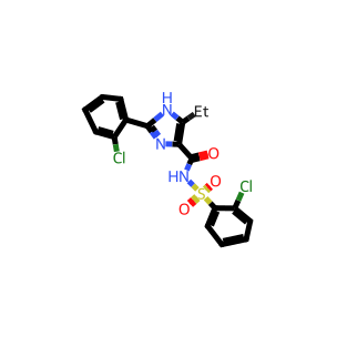 CCc1[nH]c(-c2ccccc2Cl)nc1C(=O)NS(=O)(=O)c1ccccc1Cl